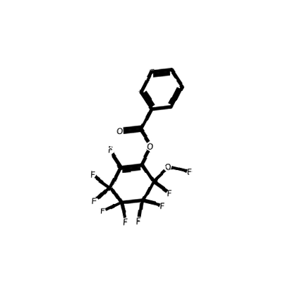 O=C(OC1=C(F)C(F)(F)C(F)(F)C(F)(F)C1(F)OF)c1ccccc1